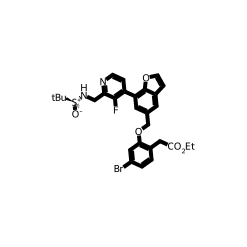 CCOC(=O)Cc1ccc(Br)cc1OCc1cc(-c2ccnc(CN[S@@+]([O-])C(C)(C)C)c2F)c2occc2c1